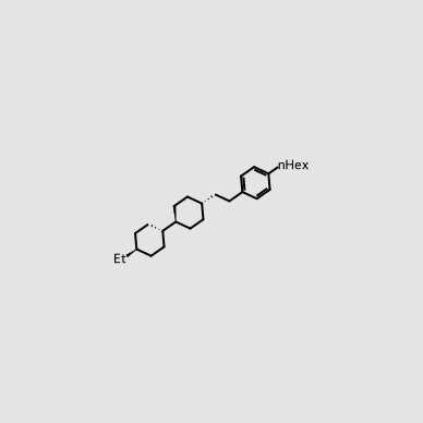 CCCCCCc1ccc(CC[C@H]2CC[C@H]([C@H]3CC[C@H](CC)CC3)CC2)cc1